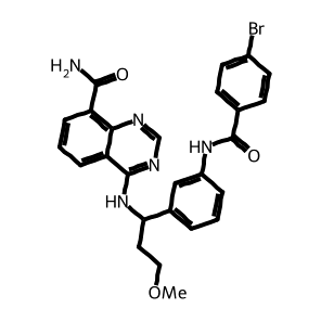 COCCC(Nc1ncnc2c(C(N)=O)cccc12)c1cccc(NC(=O)c2ccc(Br)cc2)c1